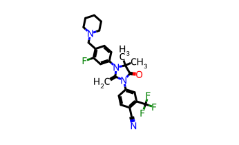 C=C1N(c2ccc(C#N)c(C(F)(F)F)c2)C(=O)C(C)(C)N1c1ccc(CN2CCCCC2)c(F)c1